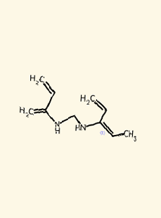 C=CC(=C)NCN/C(C=C)=C/C